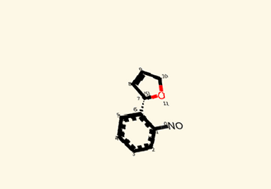 O=Nc1ccccc1[C@@H]1C=CCO1